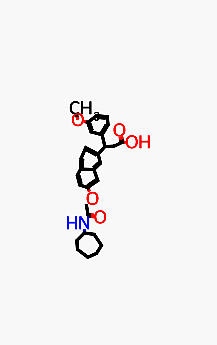 COc1cccc(C(CC(=O)O)c2ccc3ccc(OCC(=O)NC4CCCCCC4)cc3c2)c1